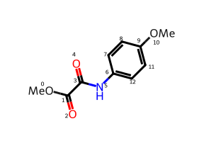 COC(=O)C(=O)Nc1ccc(OC)cc1